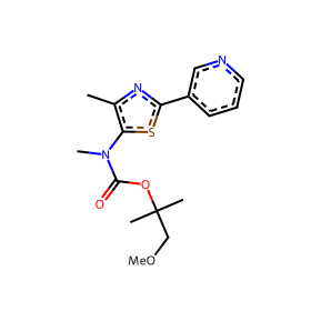 COCC(C)(C)OC(=O)N(C)c1sc(-c2cccnc2)nc1C